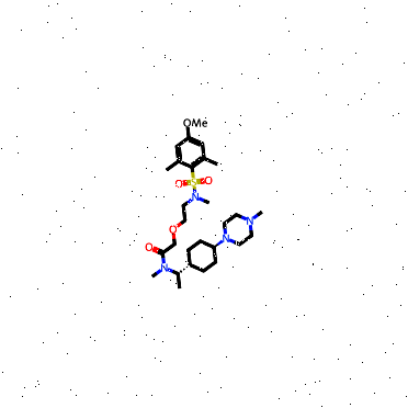 COc1cc(C)c(S(=O)(=O)N(C)CCOCC(=O)N(C)C(C)[C@H]2CC[C@H](N3CCN(C)CC3)CC2)c(C)c1